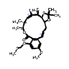 COCOc1cc(OC)cc2c1C(=O)O[C@@H](C)[C@H](C)/C=C(/F)C(C)C1OC(C)(C)OC1C/C=C/2